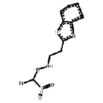 CCC(NNCCc1nc2ccccc2o1)[SH](=O)=O